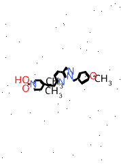 COc1ccc(Cn2ncc3ccc(CC(C)(C)C4=CCN(C(=O)O)CC4)nc32)cc1